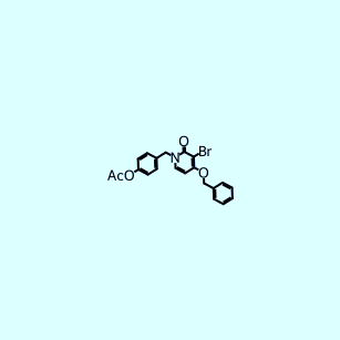 CC(=O)Oc1ccc(Cn2ccc(OCc3ccccc3)c(Br)c2=O)cc1